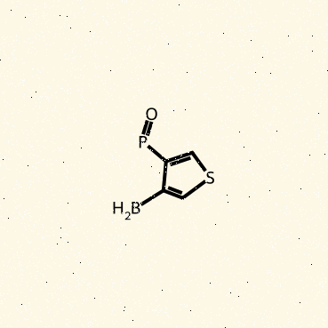 Bc1cscc1P=O